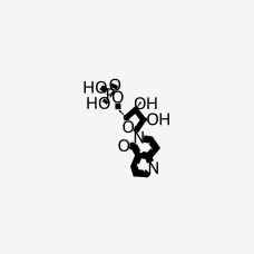 O=c1c2cccnc2ccn1[C@@H]1O[C@H](COP(=O)(O)O)[C@H](O)[C@H]1O